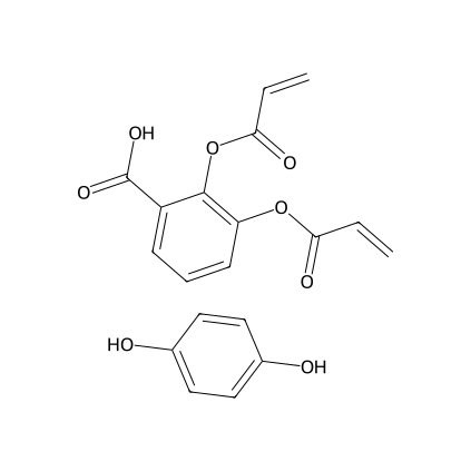 C=CC(=O)Oc1cccc(C(=O)O)c1OC(=O)C=C.Oc1ccc(O)cc1